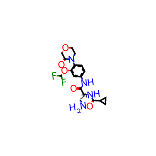 NC[C@@H](NC(=O)C1CC1)C(=O)Nc1ccc(N2CCOCC2=O)c(OC(F)F)c1